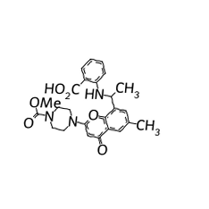 COC(=O)N1CCN(c2cc(=O)c3cc(C)cc(C(C)Nc4ccccc4C(=O)O)c3o2)CC1